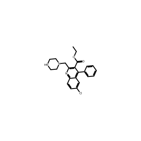 CCOC(=O)c1c(CN2CCNCC2)nc2ccc(Cl)cc2c1-c1ccccc1